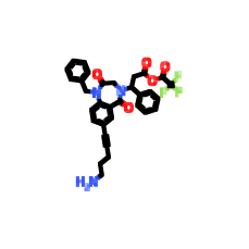 NCCCC#Cc1ccc2c(c1)C(=O)N(C(CC(=O)OC(=O)C(F)(F)F)c1ccccc1)CC(=O)N2Cc1ccccc1